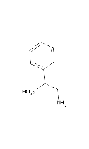 NC[C](c1ccccc1)S(=O)(=O)O